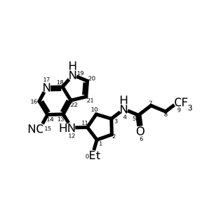 CCC1CC(NC(=O)CCC(F)(F)F)CC1Nc1c(C#N)cnc2[nH]ccc12